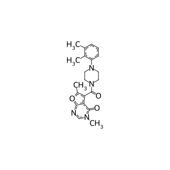 Cc1cccc(N2CCN(C(=O)c3c(C)oc4ncn(C)c(=O)c34)CC2)c1C